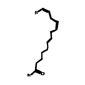 CC/C=C\C/C=C\CCCCCCCC(=O)C(C)C